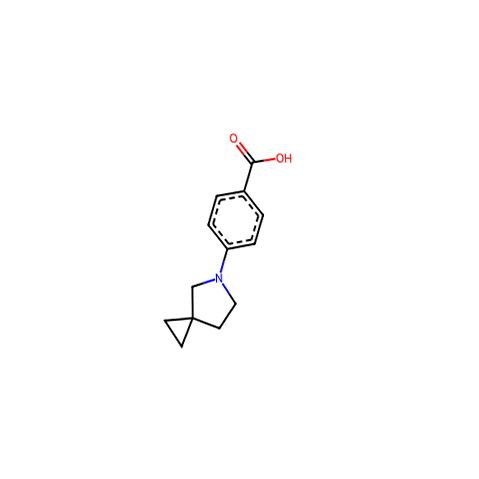 O=C(O)c1ccc(N2CCC3(CC3)C2)cc1